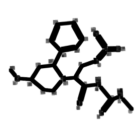 CNC(=S)NC(=O)C(CN=S(=O)=O)N1CCC(OC)CC1c1ccccc1